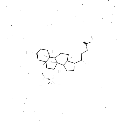 CC[C@H]1[C@@H](O[Si](C)(C)C)[C@@H]2[C@H](CC[C@]3(C)[C@@H]([C@H](C)CCC(=O)OC)CC[C@@H]23)[C@@]2(C)CC[C@@H](C)C[C@@H]12